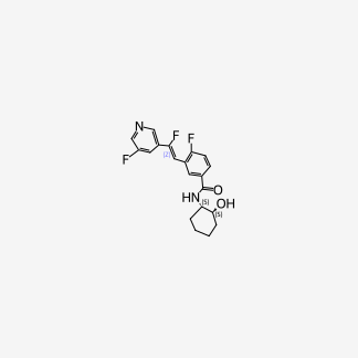 O=C(N[C@H]1CCCC[C@@H]1O)c1ccc(F)c(/C=C(\F)c2cncc(F)c2)c1